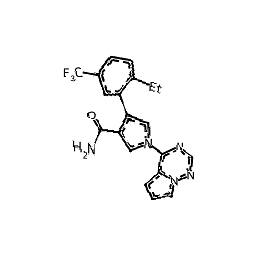 CCc1ccc(C(F)(F)F)cc1-c1cn(-c2ncnn3cccc23)cc1C(N)=O